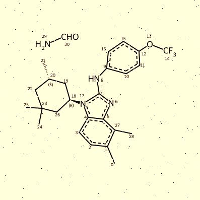 Cc1ccc2c(nc(Nc3ccc(OC(F)(F)F)cc3)n2[C@@H]2C[C@@H](C)CC(C)(C)C2)c1C.NC=O